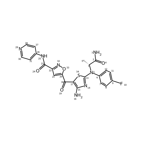 C[C@H](C(N)=O)N(c1ccc(F)cc1)c1nc(N)c(C(=O)c2cc(C(=O)Nc3ccncc3)no2)s1